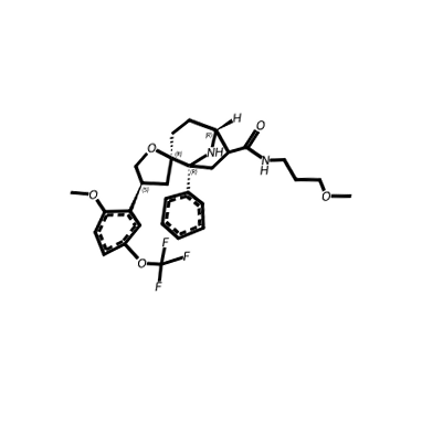 COCCCNC(=O)C1C[C@]2(c3ccccc3)N[C@@H]1CC[C@@]21C[C@@H](c2cc(OC(F)(F)F)ccc2OC)CO1